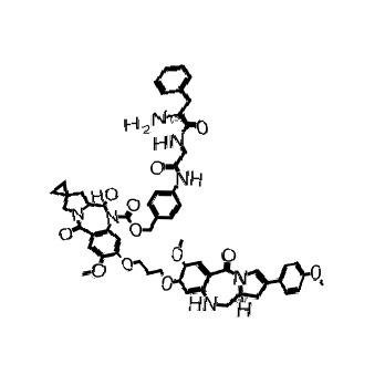 COc1ccc(C2=CN3C(=O)C4=CC(OC)C(OCCCOc5cc6c(cc5OC)C(=O)N5CC7(CC7)CC5C(O)N6C(=O)OCc5ccc(NC(=O)CNC(=O)[C@@H](N)Cc6ccccc6)cc5)C=C4NC[C@@H]3C2)cc1